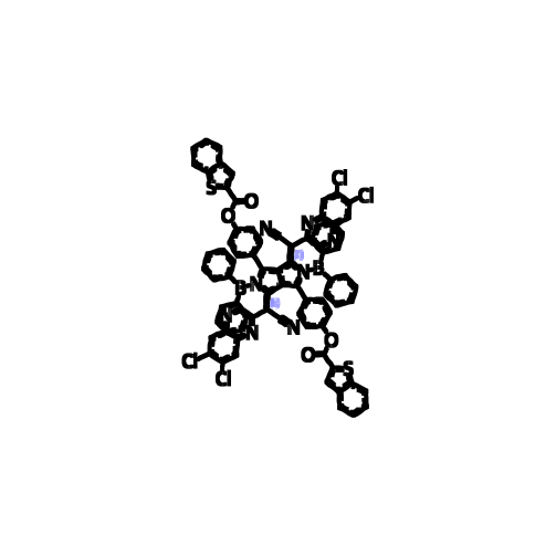 N#C/C(c1cnc2cc(Cl)c(Cl)cc2n1)=c1\c2c(-c3ccc(OC(=O)c4cc5ccccc5s4)cc3)n(B(c3ccccc3)c3ccccc3)/c(=C(/C#N)c3cnc4cc(Cl)c(Cl)cc4n3)c2c(-c2ccc(OC(=O)c3cc4ccccc4s3)cc2)n1B(c1ccccc1)c1ccccc1